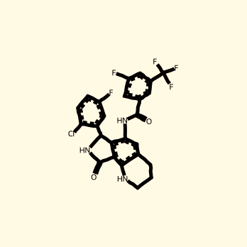 O=C(Nc1cc2c(c3c1C(c1cc(F)ccc1Cl)NC3=O)NCCC2)c1cc(F)cc(C(F)(F)F)c1